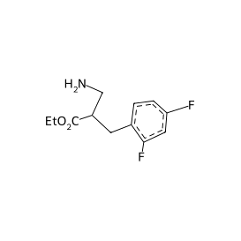 CCOC(=O)C(CN)Cc1ccc(F)cc1F